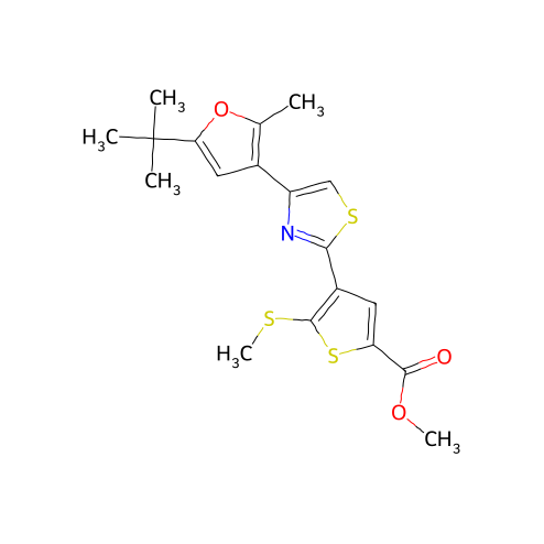 COC(=O)c1cc(-c2nc(-c3cc(C(C)(C)C)oc3C)cs2)c(SC)s1